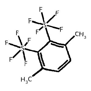 Cc1ccc(C)c(S(F)(F)(F)(F)F)c1S(F)(F)(F)(F)F